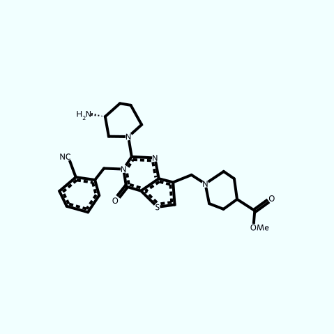 COC(=O)C1CCN(Cc2csc3c(=O)n(Cc4ccccc4C#N)c(N4CCC[C@@H](N)C4)nc23)CC1